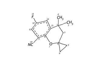 CC1(C)CC2(CC2)Oc2c(C#N)cc(F)cc21